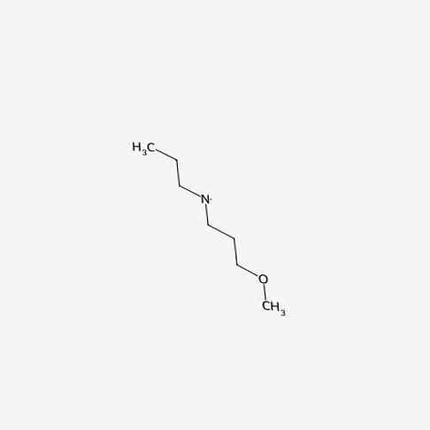 CCC[N]CCCOC